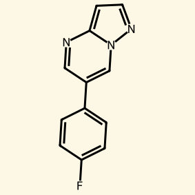 Fc1ccc(-c2cnc3ccnn3c2)cc1